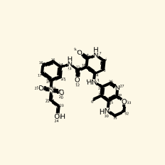 Cc1c(Nc2cc[nH]c(=O)c2C(=O)Nc2cccc(S(=O)(=O)CCO)c2)cnc2c1NCCO2